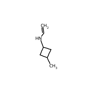 C=CNC1CC(C)C1